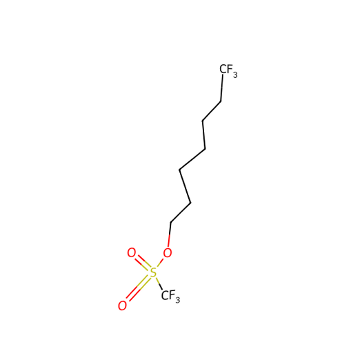 O=S(=O)(OCCCCCCC(F)(F)F)C(F)(F)F